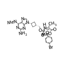 CNc1nc(N)nc2c1ncn2[C@H]1C[C@@H](COP(=O)(N[C@@H](C)C(=O)OC)Oc2ccc(Br)cc2)C1